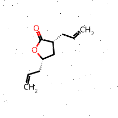 C=CC[C@H]1C[C@@H](CC=C)C(=O)O1